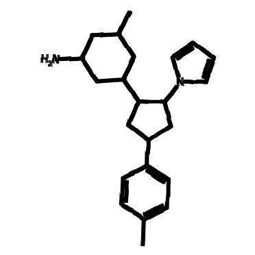 Cc1ccc(C2CC(C3CC(C)CC(N)C3)C(n3cccc3)C2)cc1